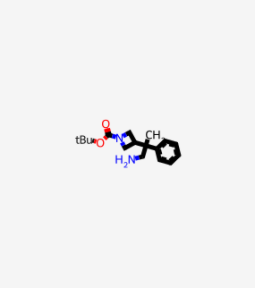 CC(C)(C)OC(=O)N1CC(C(C)(CN)c2ccccc2)C1